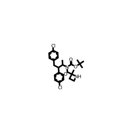 CC(C(Cc1ccc(Cl)cc1)c1ccc(Cl)cc1)N(C(=O)OC(C)(C)C)C(=O)C1(C)CCN1